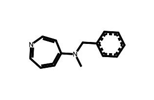 CN(Cc1ccccc1)C1=C=CC=NC=C1